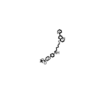 CC(C)(C)OC(=O)N1CCN(c2ccc(NCCCCCCSc3ccnc4cc(-c5ccccn5)ccc34)cc2)CC1